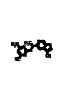 CC(Sc1nc(N)cc(C#N)n1)c1cc2c(C#N)csc2cn1